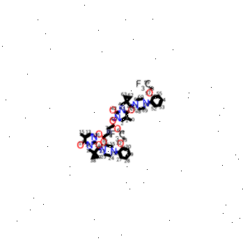 Cc1cn(OC(=O)/C=C/C(=O)On2cc(C)c(=O)n(CC3(CN4CCN(c5ccccc5OCC(F)(F)F)CC4)CC3)c2=O)c(=O)n(CC2(CN3CCN(c4ccccc4OCC(F)(F)F)CC3)CC2)c1=O